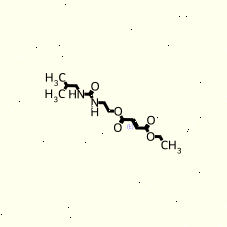 CCOC(=O)/C=C/C(=O)OCCNC(=O)NCC(C)C